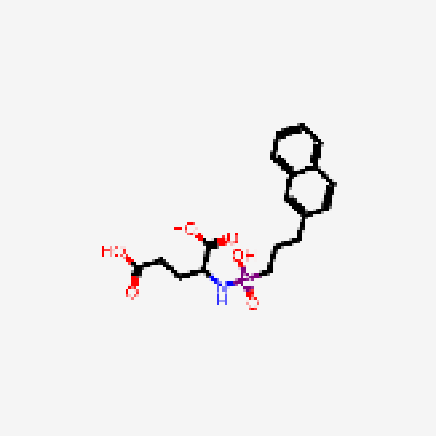 O=C(O)CCC(NP(=O)(O)CCCc1ccc2ccccc2c1)C(=O)O